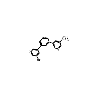 Cc1cncc(-c2cccc(-c3cncc(Br)c3)c2)c1